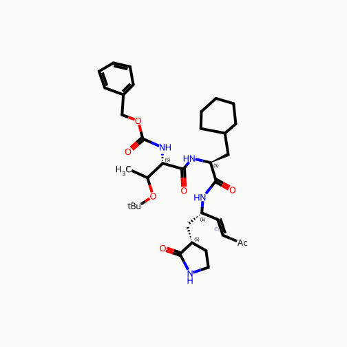 CC(=O)/C=C/[C@H](C[C@@H]1CCNC1=O)NC(=O)[C@H](CC1CCCCC1)NC(=O)[C@@H](NC(=O)OCc1ccccc1)C(C)OC(C)(C)C